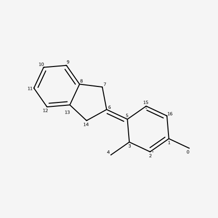 CC1=[C]C(C)C(=C2Cc3ccccc3C2)[C]=C1